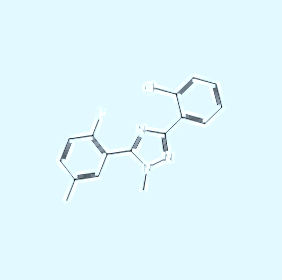 Cc1ccc(F)c(-c2nc(-c3ccccc3Cl)nn2C)c1